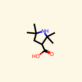 CC1(C)CC(C(=O)O)C(C)(C)N1